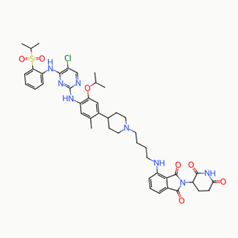 Cc1cc(Nc2ncc(Cl)c(Nc3ccccc3S(=O)(=O)C(C)C)n2)c(OC(C)C)cc1C1CCN(CCCCNc2cccc3c2C(=O)N(C2CCC(=O)NC2=O)C3=O)CC1